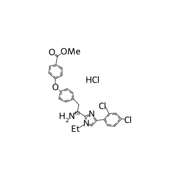 CCn1cc(-c2ccc(Cl)cc2Cl)nc1[C@@H](N)Cc1ccc(Oc2ccc(C(=O)OC)cc2)cc1.Cl